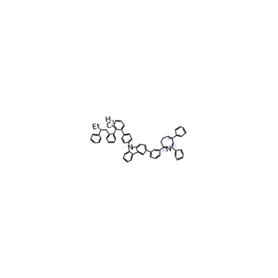 CCC(Cc1ccccc1-c1c(C)cccc1-c1ccc(-n2c3ccccc3c3cc(-c4cccc(/C5=N/C(c6ccccc6)=C\C(c6ccccc6)=C/CC5)c4)ccc32)cc1)c1ccccc1